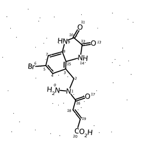 NN(Cc1cc(Br)cc2[nH]c(=O)c(=O)[nH]c12)C(=O)C=CC(=O)O